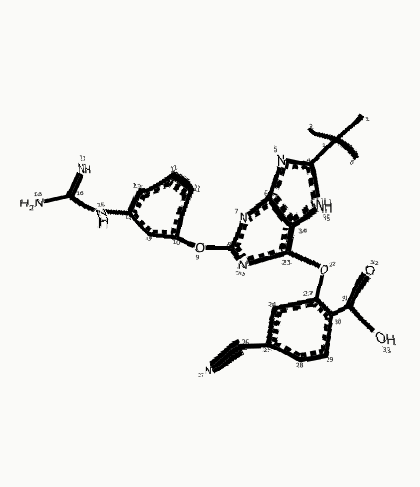 CC(C)(C)c1nc2nc(Oc3cccc(NC(=N)N)c3)nc(Oc3cc(C#N)ccc3C(=O)O)c2[nH]1